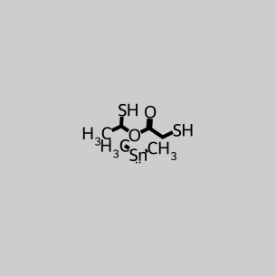 CC(S)OC(=O)CS.[CH3][Sn][CH3]